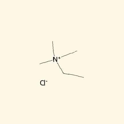 CC[N+](C)(C)C.[Cl-]